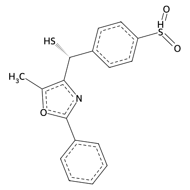 Cc1oc(-c2ccccc2)nc1[C@H](S)c1ccc([SH](=O)=O)cc1